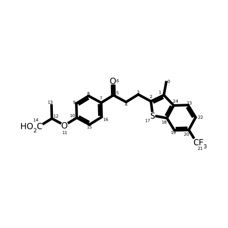 Cc1c(CCC(=O)c2ccc(OC(C)C(=O)O)cc2)sc2cc(C(F)(F)F)ccc12